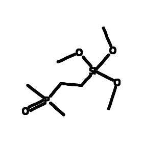 CO[Si](CCP(C)(C)=O)(OC)OC